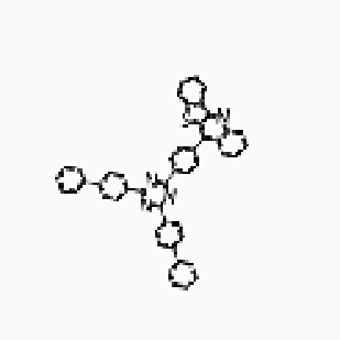 c1ccc(-c2ccc(-c3nc(-c4ccc(-c5ccccc5)cc4)nc(-c4ccc(-c5c6ccccc6nc6c5sc5ccccc56)cc4)n3)cc2)cc1